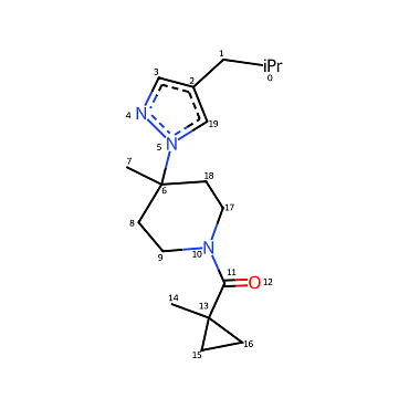 CC(C)Cc1cnn(C2(C)CCN(C(=O)C3(C)CC3)CC2)c1